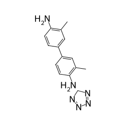 C1N=NN=N1.Cc1cc(-c2ccc(N)c(C)c2)ccc1N